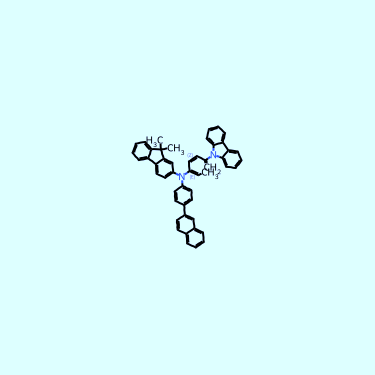 C=C(/C=C\C(=C/C)N(c1ccc(-c2ccc3ccccc3c2)cc1)c1ccc2c(c1)C(C)(C)c1ccccc1-2)n1c2ccccc2c2ccccc21